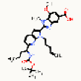 C=CCCCn1c(-c2nc3cc(C(=O)O)cc(OC)c3n2C)cc2ccc(C(CCC)NC(=O)OC(C)(C)C)nc21